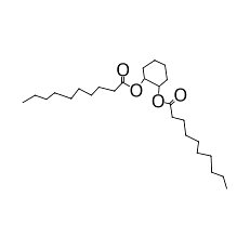 CCCCCCCCCC(=O)OC1CCCCC1OC(=O)CCCCCCCCC